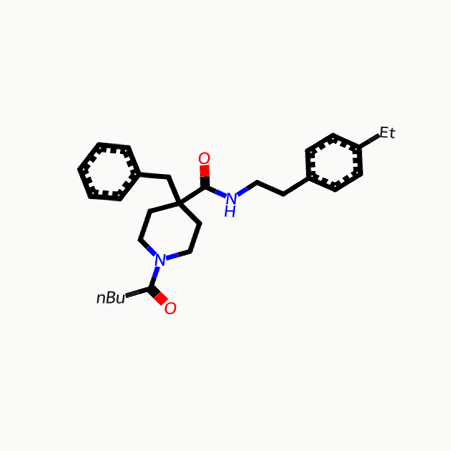 CCCCC(=O)N1CCC(Cc2ccccc2)(C(=O)NCCc2ccc(CC)cc2)CC1